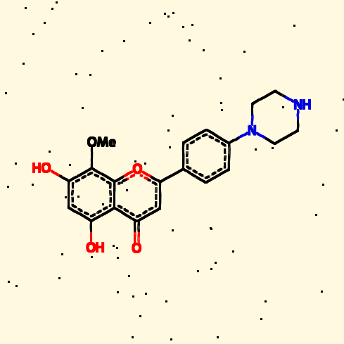 COc1c(O)cc(O)c2c(=O)cc(-c3ccc(N4CCNCC4)cc3)oc12